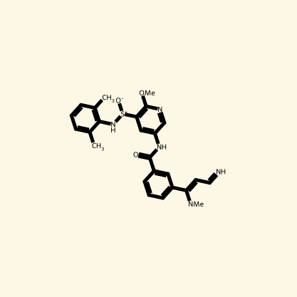 CN/C(=C\C=N)c1cccc(C(=O)Nc2cnc(OC)c([S+]([O-])Nc3c(C)cccc3C)c2)c1